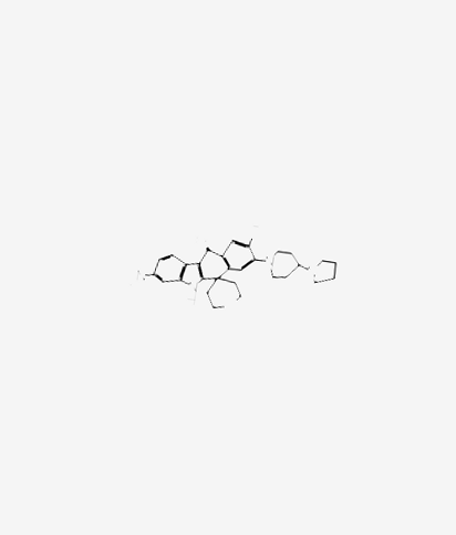 Nc1ccc2c3c([nH]c2c1)C1(CCOCC1)c1cc(N2CCC(N4CCCC4)CC2)c(F)cc1C3=O